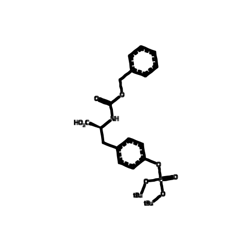 CC(C)(C)OP(=O)(Oc1ccc(C[C@H](NC(=O)OCc2ccccc2)C(=O)O)cc1)OC(C)(C)C